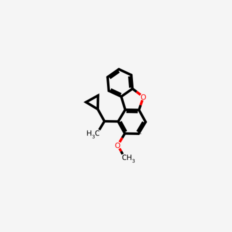 COc1[c]cc2oc3ccccc3c2c1C(C)C1CC1